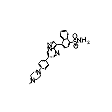 CN1CCN(c2ccc(-c3cnc4c(-c5ccc(S(N)(=O)=O)c6ccccc56)cnn4c3)cc2)CC1